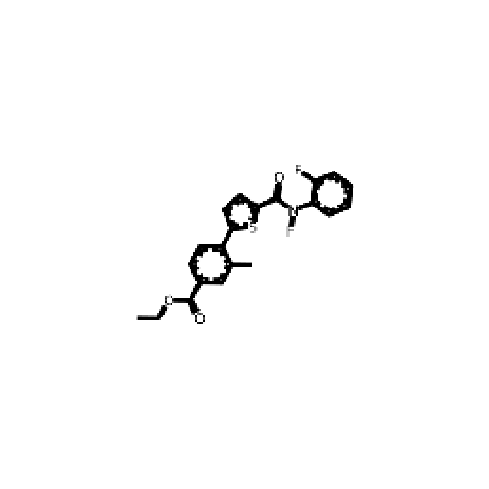 CCOC(=O)c1ccc(-c2ccc(C(=O)N(F)c3ccccc3F)s2)c(C)c1